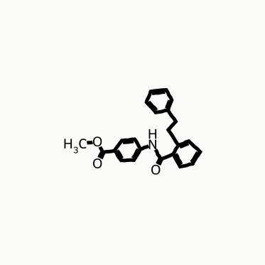 COC(=O)c1ccc(NC(=O)c2ccccc2CCc2ccccc2)cc1